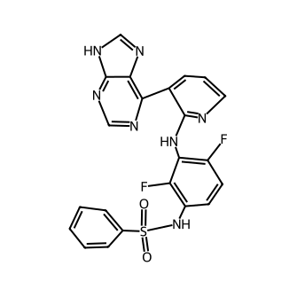 O=S(=O)(Nc1ccc(F)c(Nc2ncccc2-c2ncnc3[nH]cnc23)c1F)c1ccccc1